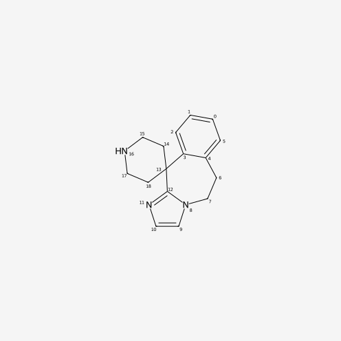 c1ccc2c(c1)CCn1ccnc1C21CCNCC1